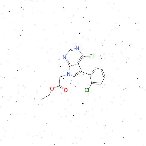 CCOC(=O)Cn1cc(-c2ccccc2Cl)c2c(Cl)ncnc21